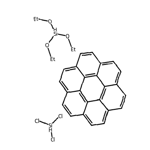 CCO[SiH](OCC)OCC.Cl[SiH](Cl)Cl.c1cc2ccc3ccc4ccc5ccc6ccc1c1c2c3c4c5c61